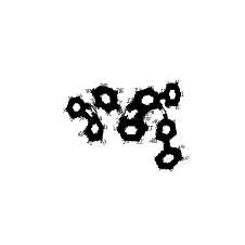 c1ccc(-c2ccc(-n3c4ccccc4c4ccc5c(c6ccccc6n5-c5cccc(-n6c7ccccc7c7ccccc76)c5)c43)cc2)cc1